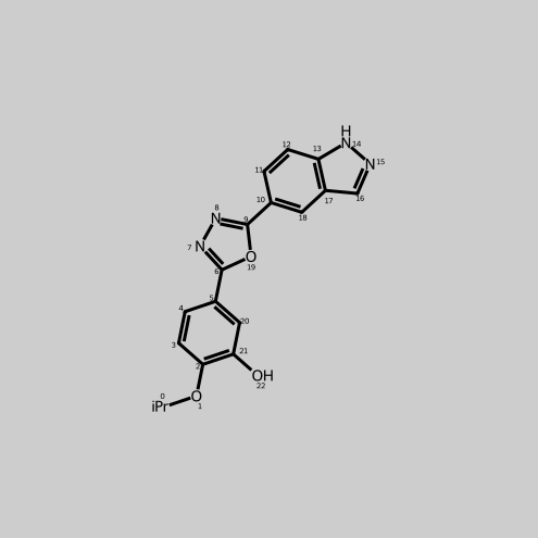 CC(C)Oc1ccc(-c2nnc(-c3ccc4[nH]ncc4c3)o2)cc1O